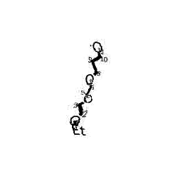 CCOCCOCCOCCC[O]